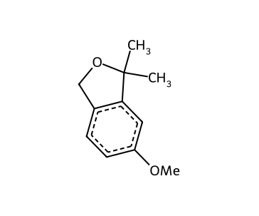 COc1ccc2c(c1)C(C)(C)OC2